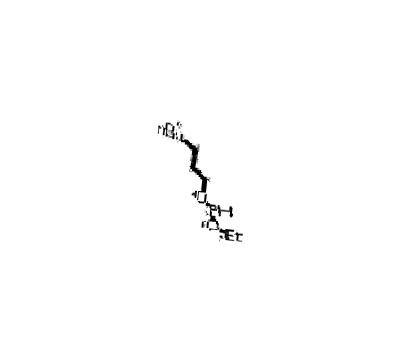 CCCCCCCOPOCC